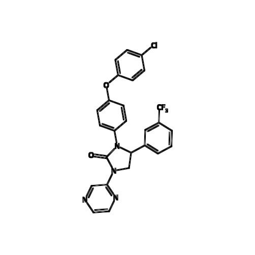 O=C1N(c2cnccn2)CC(c2cccc(C(F)(F)F)c2)N1c1ccc(Oc2ccc(Cl)cc2)cc1